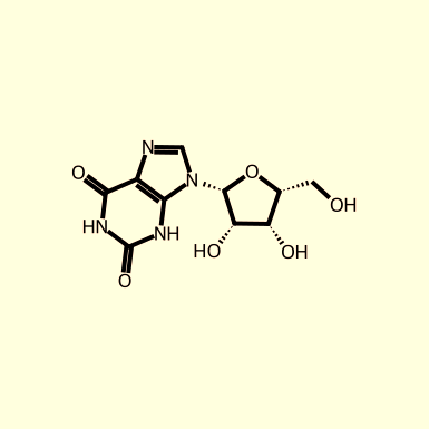 O=c1[nH]c(=O)c2ncn([C@@H]3O[C@H](CO)[C@H](O)[C@@H]3O)c2[nH]1